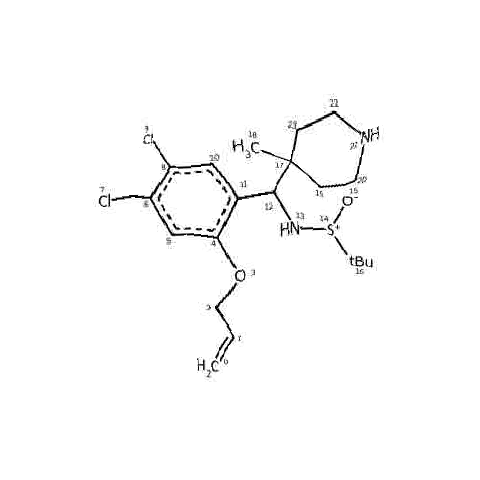 C=CCOc1cc(Cl)c(Cl)cc1C(N[S+]([O-])C(C)(C)C)C1(C)CCNCC1